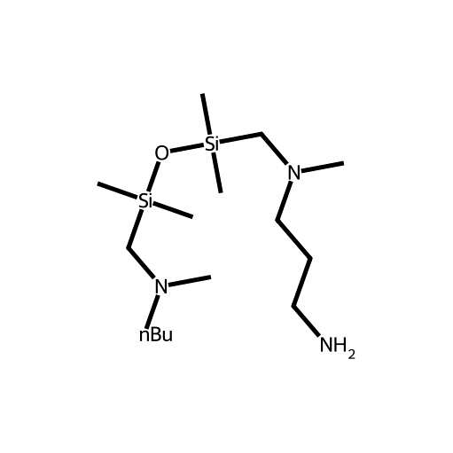 CCCCN(C)C[Si](C)(C)O[Si](C)(C)CN(C)CCCN